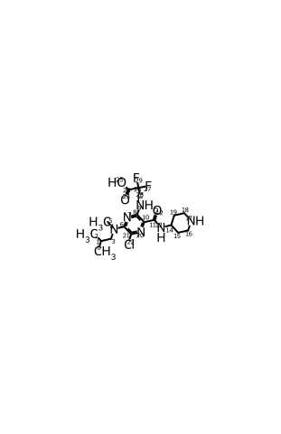 CC(C)CN(C)c1nc(N)c(C(=O)NC2CCNCC2)nc1Cl.O=C(O)C(F)(F)F